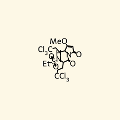 CCS(=O)(=O)NC(CCC(Cl)(Cl)Cl)C(=O)N1C(=O)C=C(OC)C1CCC(Cl)(Cl)Cl